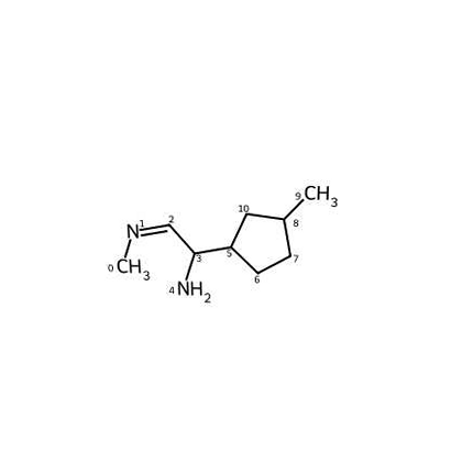 C/N=C\C(N)C1CCC(C)C1